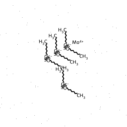 CCCCCCCCOP(=S)([S-])OCCCCCCCC.CCCCCCCCOP(=S)([S-])OCCCCCCCC.CCCCCCCCOP(=S)([S-])OCCCCCCCC.CCCCCCCCOP(=S)([S-])OCCCCCCCC.[Mo+4]